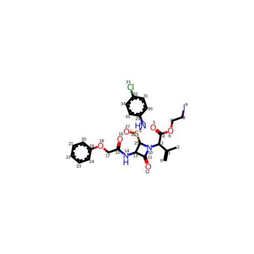 C=C(C)C(C(=O)OCCI)N1C(=O)C(NC(=O)COc2ccccc2)C1[S+]([O-])Nc1ccc(Cl)cc1